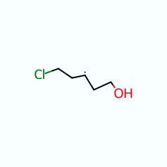 OCC[CH]CCCl